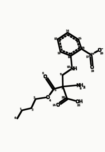 CCCCOC(=O)C(N)(CNc1ccccc1[N+](=O)[O-])C(=O)O